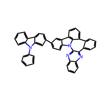 c1ccc(-n2c3ccccc3c3ccc(-c4ccc5c(c4)c4cccc6c4n5-c4nc5ccccc5nc4-c4ccccc4-6)cc32)cc1